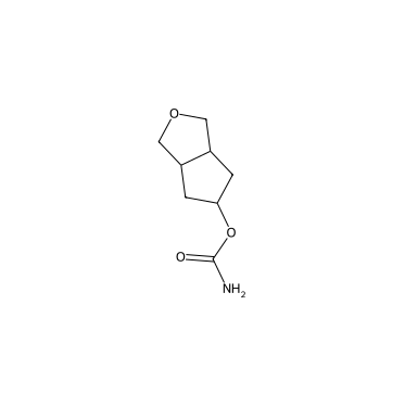 NC(=O)OC1CC2COCC2C1